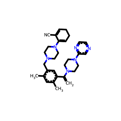 C=C(c1cc(CN2CCN(C3=CCCC=C3C#N)CC2)c(C)cc1C)N1CCN(c2cnccn2)CC1